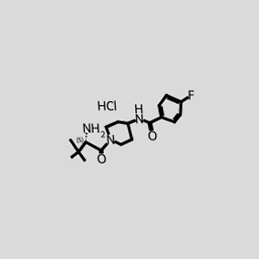 CC(C)(C)[C@H](N)C(=O)N1CCC(NC(=O)c2ccc(F)cc2)CC1.Cl